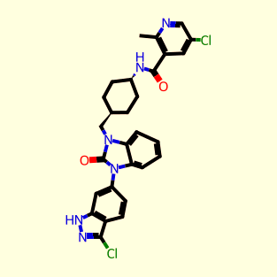 Cc1ncc(Cl)cc1C(=O)N[C@H]1CC[C@H](Cn2c(=O)n(-c3ccc4c(Cl)n[nH]c4c3)c3ccccc32)CC1